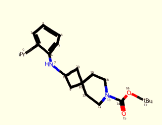 CC(C)c1ccccc1NC1CC2(CCN(C(=O)OC(C)(C)C)CC2)C1